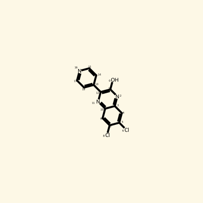 Oc1nc2cc(Cl)c(Cl)cc2nc1-c1ccncc1